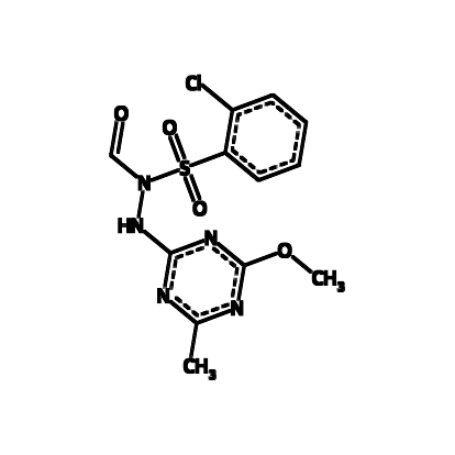 COc1nc(C)nc(NN(C=O)S(=O)(=O)c2ccccc2Cl)n1